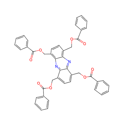 O=C(OCc1ccc(COC(=O)c2ccccc2)c2nc3c(COC(=O)c4ccccc4)ccc(COC(=O)c4ccccc4)c3nc12)c1ccccc1